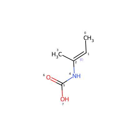 C/C=C(\C)NC(=O)O